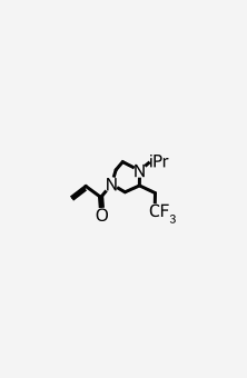 C=CC(=O)N1CCN(C(C)C)C(CC(F)(F)F)C1